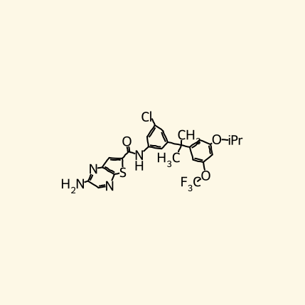 CC(C)Oc1cc(OC(F)(F)F)cc(C(C)(C)c2cc(Cl)cc(NC(=O)c3cc4nc(N)cnc4s3)c2)c1